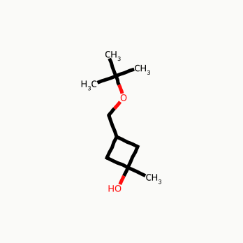 CC1(O)CC(COC(C)(C)C)C1